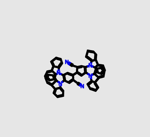 N#Cc1cc(-n2c3ccccc3c3ccccc32)c(-n2c3ccccc3c3ccccc32)cc1-c1cc(-n2c3ccccc3c3ccccc32)c(-n2c3ccccc3c3ccccc32)cc1C#N